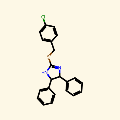 Clc1ccc(CSC2=NC(c3ccccc3)C(c3ccccc3)N2)cc1